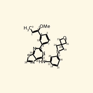 CC=C(OC)c1cccc(-c2nc(Nc3cccc(N4CC5(COC5)C4)c3)c3ncsc3n2)c1